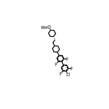 CO[C@H]1CC[C@H](CCC2CCC(c3cc(F)c(-c4cc(F)c(Cl)c(F)c4)c(F)c3)CC2)CC1